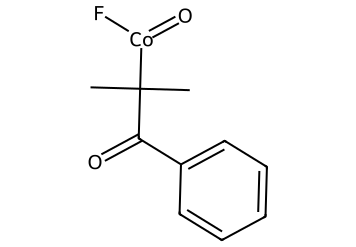 C[C](C)(C(=O)c1ccccc1)[Co](=[O])[F]